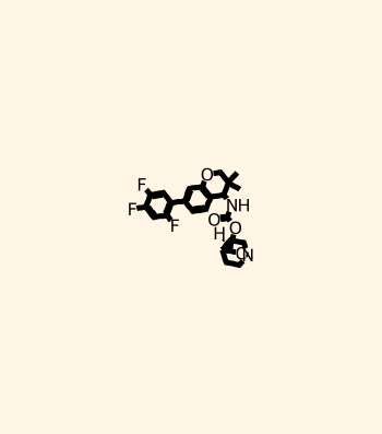 CC1(C)COc2cc(-c3cc(F)c(F)cc3F)ccc2C1NC(=O)O[C@H]1CN2CCC1CC2